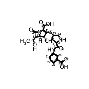 C[C@@H](O)[C@H]1C(=O)N2C(C(=O)O)=C(SC3CNC(C(=O)Nc4cccc(C(=O)O)c4)C3)[C@H](C)[C@H]12